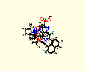 COC(=O)c1nc2c3c(nc(-c4cccc5ccc(F)c(C#C[Si](C(C)C)(C(C)C)C(C)C)c45)c(F)c3n1)OC[C@@H]1[C@H]3CC[C@@H](CN21)N3C(=O)OC(C)(C)C